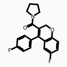 O=C(C1=C(c2ccc(F)cc2)c2cc(F)ccc2OC1)N1CCCC1